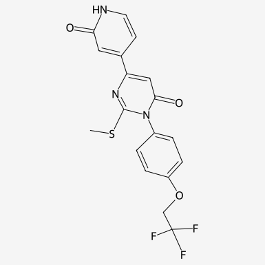 CSc1nc(-c2cc[nH]c(=O)c2)cc(=O)n1-c1ccc(OCC(F)(F)F)cc1